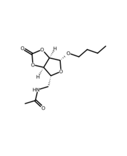 CCCCO[C@@H]1O[C@H](CNC(C)=O)[C@H]2OC(=O)O[C@@H]12